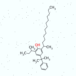 CCCCCCCCCCCCC(C)c1cc(C(C)(C)c2ccccc2)cc(C(C)CC)c1O